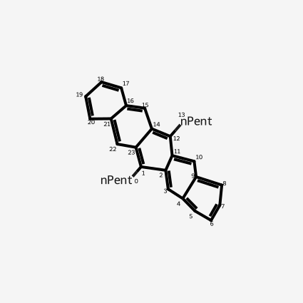 CCCCCc1c2cc3ccccc3cc2c(CCCCC)c2cc3ccccc3cc12